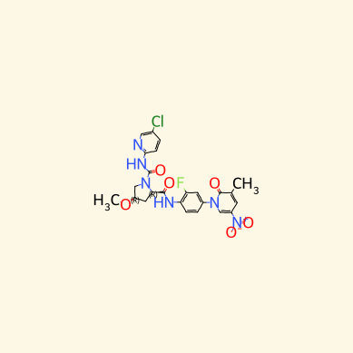 CO[C@@H]1C[C@H](C(=O)Nc2ccc(-n3cc([N+](=O)[O-])cc(C)c3=O)cc2F)N(C(=O)Nc2ccc(Cl)cn2)C1